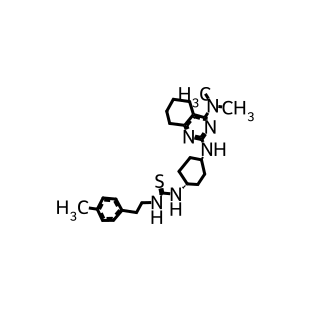 Cc1ccc(CCNC(=S)N[C@H]2CC[C@@H](Nc3nc4c(c(N(C)C)n3)CCCC4)CC2)cc1